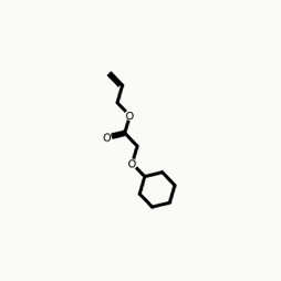 C=CCOC(=O)COC1CCCCC1